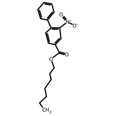 CCCCCCCOC(=O)c1ccc(-c2ccccc2)c([N+](=O)[O-])c1